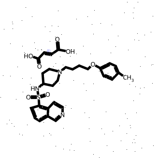 Cc1ccc(OCCCCN2CCC(NS(=O)(=O)c3cccc4cnccc34)CC2)cc1.O=C(O)/C=C/C(=O)O